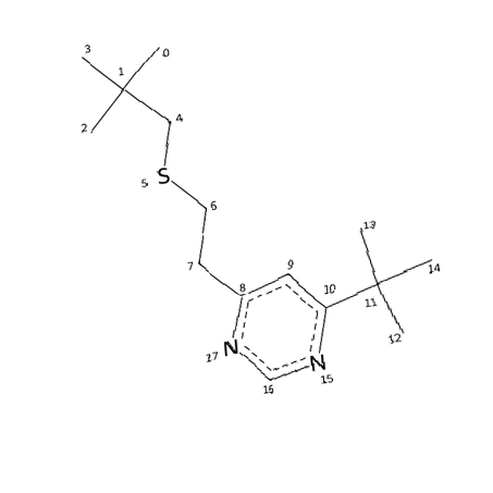 CC(C)(C)CSCCc1cc(C(C)(C)C)ncn1